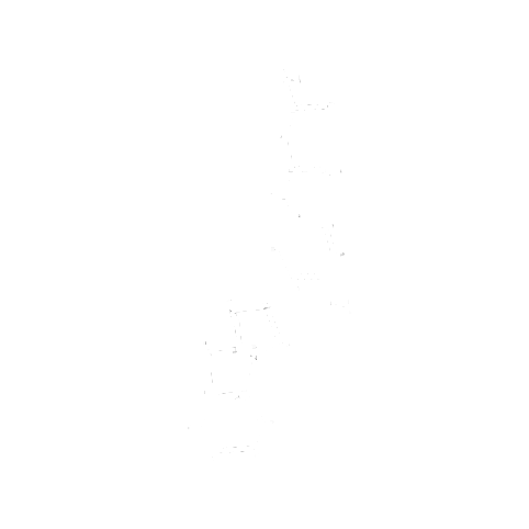 Cl.O=C(O)CC(=O)Oc1cccc(-c2cn3c(n2)sc2ccccc23)c1